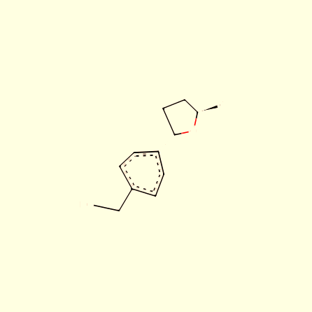 CCc1ccc([C@@H]2CC[C@@H](C)O2)cc1